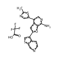 Cc1ncc(-c2cnc(N)c3oc(-c4csc5cnccc45)cc23)s1.O=C(O)C(F)(F)F